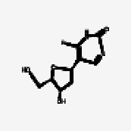 O=c1ncc([C@H]2C[C@@H](O)[C@@H](CO)O2)c(F)[nH]1